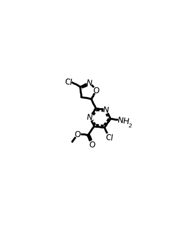 COC(=O)c1nc(C2CC(Cl)=NO2)nc(N)c1Cl